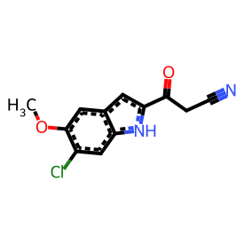 COc1cc2cc(C(=O)CC#N)[nH]c2cc1Cl